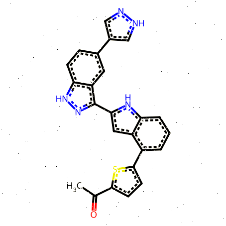 CC(=O)c1ccc(-c2cccc3[nH]c(-c4n[nH]c5ccc(-c6cn[nH]c6)cc45)cc23)s1